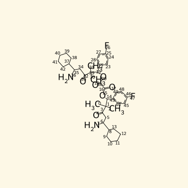 CC(C)(C(=O)CC(N)C1CCCCC1)C(OC(=O)C(=O)OC(c1ccc(F)cc1)C(C)(C)C(=O)CC(N)C1CCCCC1)c1ccc(F)cc1